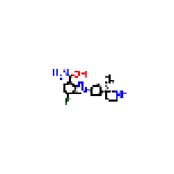 C[C@@]1(c2ccc(-n3cc4c(F)ccc(C(N)O)c4n3)cc2)CCCNC1